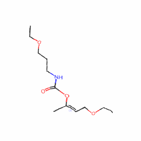 CCOC/C=C(/C)OC(=O)NCCCOCC